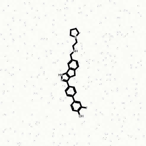 Oc1ccc(-c2ccc(-c3n[nH]c4c3Cc3ccc(CNCCN5CCCC5)cc3-4)cc2)cc1F